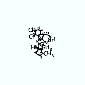 Cc1cccc(NC(=O)Cn2c3c(c4ccc(Cl)c(Cl)c42)CCNCC3)c1C